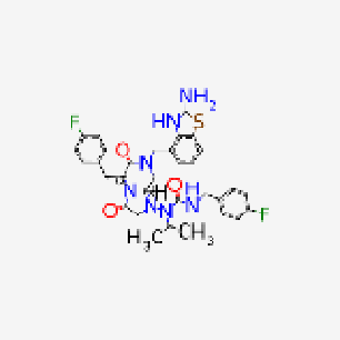 CC(C)N(C(=O)NCc1ccc(F)cc1)N1CC(=O)N2[C@@H](Cc3ccc(F)cc3)C(=O)N(Cc3cccc4c3NC(N)S4)C[C@@H]21